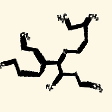 C=C\C=C/C(=C\C=C)C(=N/C=C\C(=C)C=C)/C(=C)SC=C